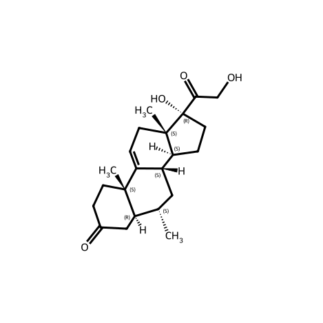 C[C@H]1C[C@@H]2C(=CC[C@@]3(C)[C@H]2CC[C@]3(O)C(=O)CO)[C@@]2(C)CCC(=O)C[C@H]12